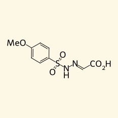 COc1ccc(S(=O)(=O)NN=CC(=O)O)cc1